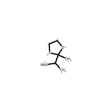 CSC(C)C1(C)OCCO1